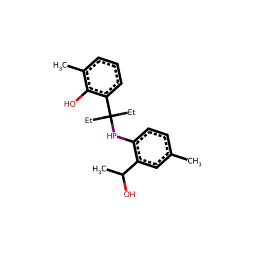 CCC(CC)(Pc1ccc(C)cc1C(C)O)c1cccc(C)c1O